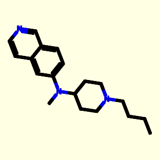 CCCCN1CCC(N(C)c2ccc3cnccc3c2)CC1